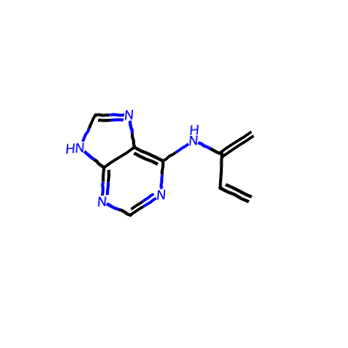 C=CC(=C)Nc1ncnc2[nH]cnc12